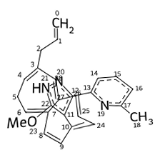 C=CCC1=CCC=C2\C=C/C(c3c(-c4cccc(C)n4)n[nH]c3OC)=C/C=C/C2=C1